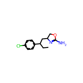 CCC(CC1COC(N)=N1)c1ccc(Cl)cc1